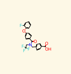 O=C(O)c1ccc(CN(CC(F)(F)F)C(=O)c2ccc(Oc3ccccc3F)cc2)cc1